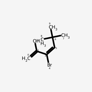 C=C(O)/C(Br)=C\C(C)(C)C